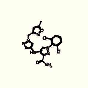 Cc1cc(Cn2cc(Nc3cn(-c4c(Cl)cccc4Cl)nc3C(N)=O)cn2)no1